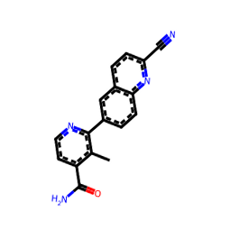 Cc1c(C(N)=O)ccnc1-c1ccc2nc(C#N)ccc2c1